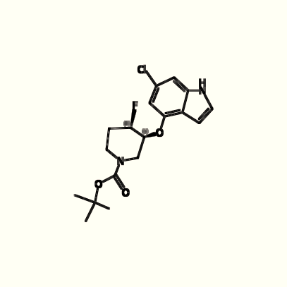 CC(C)(C)OC(=O)N1CC[C@@H](F)[C@@H](Oc2cc(Cl)cc3[nH]ccc23)C1